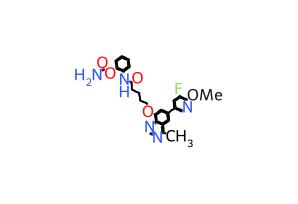 COc1ncc(-c2cc(OCCCCC(=O)Nc3ccccc3OC(N)=O)c3ncnc(C)c3c2)cc1F